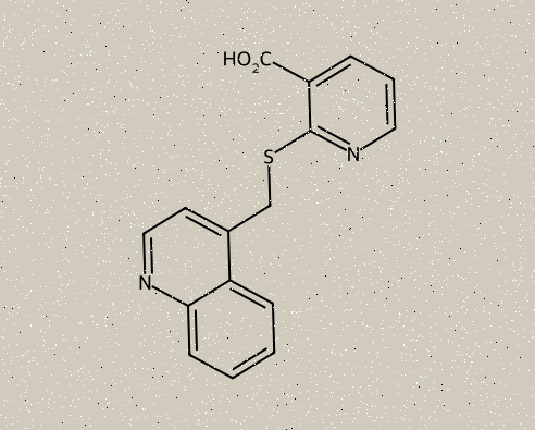 O=C(O)c1cccnc1SCc1ccnc2ccccc12